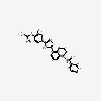 Cc1cc(-c2nnc(-c3cccc4c3CCC[C@H]4NC(=O)c3cccnc3)s2)ccc1OC(C)C